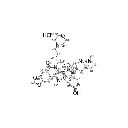 Cc1c(C(=O)N(c2ccc(O)cc2)c2cnc3c(ccn3C)c2)cc(-c2cc3c(cc2C(=O)N2Cc4ccccc4C[C@H]2CCCN2CCOCC2)OCO3)n1C.Cl